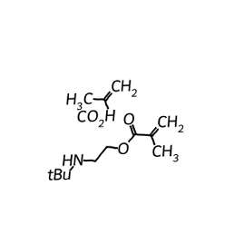 C=C(C)C(=O)O.C=C(C)C(=O)OCCNC(C)(C)C